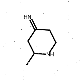 CC1CC(=N)CCN1